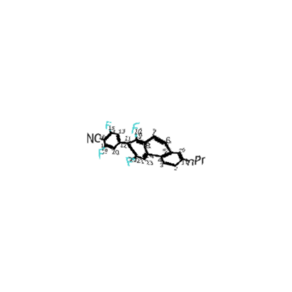 CCCc1ccc2c(ccc3c(F)c(-c4cc(F)c(C#N)c(F)c4)c(F)cc32)c1